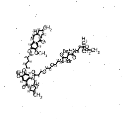 C=C1C[C@H]2CN(C(=O)CCOCCOCCNC(=O)C(Br)C(Br)C(=O)NCCC(C)(C)OCC)c3cc(OCCCCCOc4cc5c(cc4OC)C(=O)N4CC(=C)C[C@H]4C=N5)c(OC)cc3C(=O)N2C1